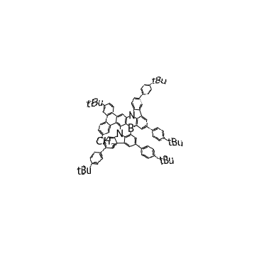 Cc1ccc2c3cc(C(C)(C)C)ccc3c3cc4c5c(c3c2c1)-n1c2ccc(-c3ccc(C(C)(C)C)cc3)cc2c2cc(-c3ccc(C(C)(C)C)cc3)cc(c21)B5c1cc(-c2ccc(C(C)(C)C)cc2)cc2c3cc(-c5ccc(C(C)(C)C)cc5)ccc3n-4c12